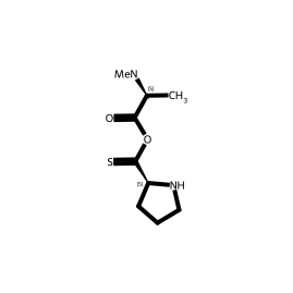 CN[C@@H](C)C(=O)OC(=S)[C@@H]1CCCN1